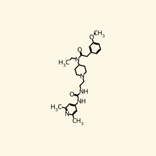 CCN(C(=O)Cc1cccc(OC)c1)C1CCN(CCNC(=O)Nc2cc(C)nc(C)c2)CC1